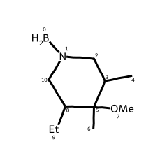 BN1CC(C)C(C)(OC)C(CC)C1